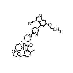 CCOc1cc(-c2ccc(N3CCC(CN4CCC5(CC4)OCCO5)(NC(=O)c4cc(F)ccc4F)CC3)nc2)c2c(C#N)cnn2c1